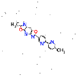 Cc1ccc(-c2ccc(-c3nc4nc5oc(C)nc5cc4o3)cn2)nc1